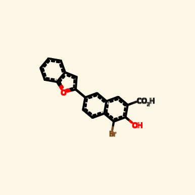 O=C(O)c1cc2cc(-c3cc4ccccc4o3)ccc2c(Br)c1O